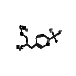 COCC(C)Cc1ccc(C(F)(F)F)nc1